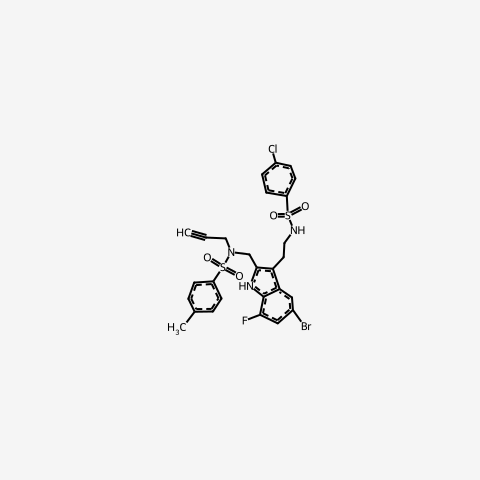 C#CCN(Cc1[nH]c2c(F)cc(Br)cc2c1CCNS(=O)(=O)c1ccc(Cl)cc1)S(=O)(=O)c1ccc(C)cc1